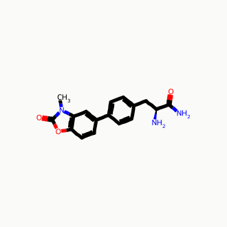 Cn1c(=O)oc2ccc(-c3ccc(C[C@H](N)C(N)=O)cc3)cc21